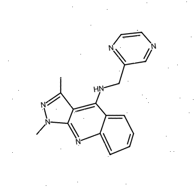 Cc1nn(C)c2nc3ccccc3c(NCc3cnccn3)c12